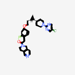 O=C(Cc1ccc(OCC[C@@H]2C[C@@H]2C2CCN(c3ncc(Cl)cn3)CC2)cc1F)N1CCc2cnccc2C1